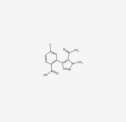 CC(=O)c1c(-c2cc(F)ccc2C(=O)O)cnn1C